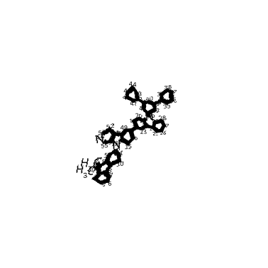 CC1(C)c2ccccc2-c2ccc(-n3c4ccc(-c5ccc6c(c5)c5ccccc5n6-c5cc(-c6ccccc6)cc(-c6ccccc6)c5)cc4c4ccncc43)cc21